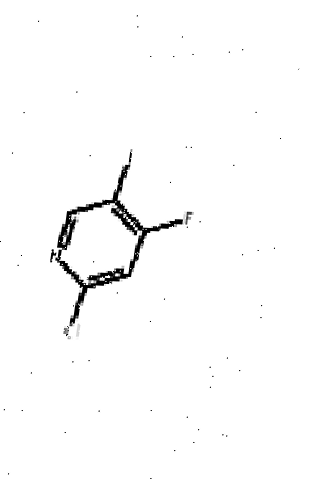 Fc1cc(Cl)ncc1I